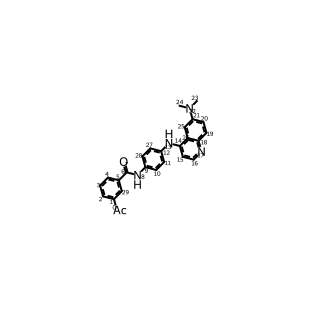 CC(=O)c1cccc(C(=O)Nc2ccc(Nc3ccnc4ccc(N(C)C)cc34)cc2)c1